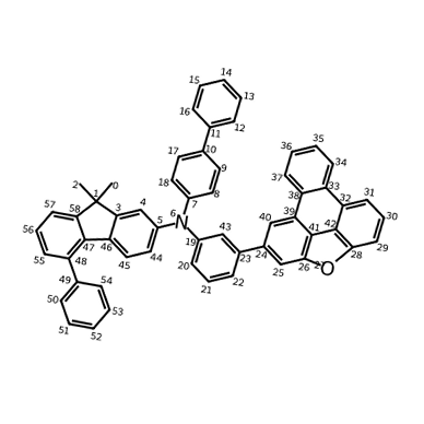 CC1(C)c2cc(N(c3ccc(-c4ccccc4)cc3)c3cccc(-c4cc5oc6cccc7c8ccccc8c(c4)c5c67)c3)ccc2-c2c(-c3ccccc3)cccc21